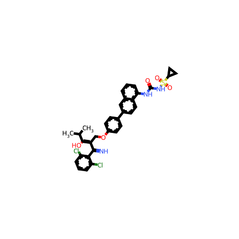 CC(C)/C(O)=C(\COc1ccc(-c2ccc3c(NC(=O)NS(=O)(=O)C4CC4)cccc3c2)cc1)C(=N)c1c(Cl)cccc1Cl